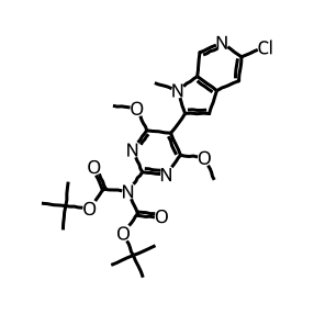 COc1nc(N(C(=O)OC(C)(C)C)C(=O)OC(C)(C)C)nc(OC)c1-c1cc2cc(Cl)ncc2n1C